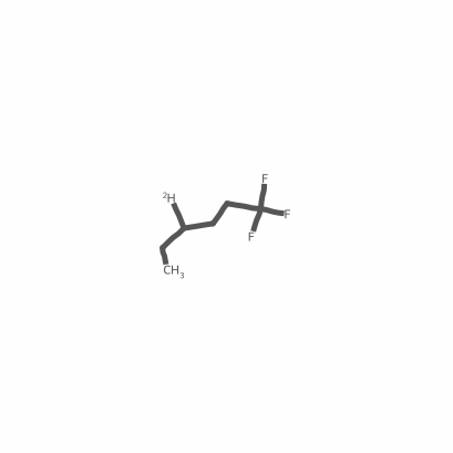 [2H]C(CC)CCC(F)(F)F